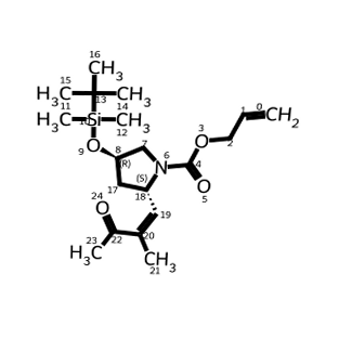 C=CCOC(=O)N1C[C@H](O[Si](C)(C)C(C)(C)C)C[C@H]1C=C(C)C(C)=O